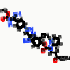 CCCCCOC(=O)NC(=N)c1ccc(NCc2nc3c(C)c(OC(=O)N(CCC(=O)OC)c4ccccn4)ccc3[nH]2)cc1